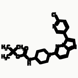 CC(C)(C)OC(=O)NC1CCN(c2ccc3ncc(-c4ccc(Cl)nc4)n3n2)CC1